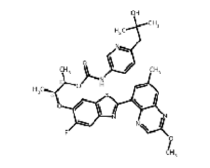 COc1cnc2c(-c3nc4cc(F)c(O[C@@H](C)[C@@H](C)OC(=O)Nc5ccc(CC(C)(C)O)nc5)cc4s3)cc(C)cc2n1